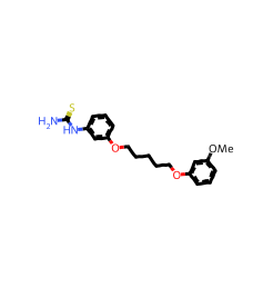 COc1cccc(OCCCCCOc2cccc(NC(N)=S)c2)c1